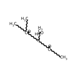 CCCCCCCCCOC(=O)CCCCCCCN(CCCCCCCC(=O)OC(CCCCCCCC)CCCCCCCC)CCCNC(C)=O